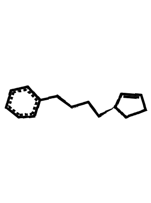 C1=C[C@H](CCCCc2ccccc2)CC1